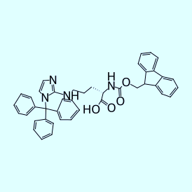 O=C(N[C@@H](CCCNc1nccn1C(c1ccccc1)(c1ccccc1)c1ccccc1)C(=O)O)OCC1c2ccccc2-c2ccccc21